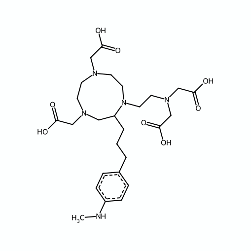 CNc1ccc(CCCC2CN(CC(=O)O)CCN(CC(=O)O)CCN2CCN(CC(=O)O)CC(=O)O)cc1